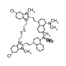 CN(C)c1ccc(C=Cc2n(C)c3cc(Cl)ccc3[n+]2CCSSCC[n+]2c(C=Cc3ccc(N(C)C)c4ccccc34)n(C)c3cc(Cl)ccc32)c2ccccc12.[Br-].[Br-]